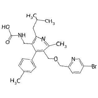 Cc1ccc(-c2c(COCc3ccc(Br)cn3)c(C)nc(CC(C)C)c2CNC(=O)O)cc1